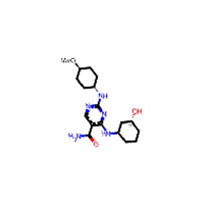 CO[C@H]1CC[C@H](Nc2ncc(C(N)=O)c(NC3CCC[C@@H](O)C3)n2)CC1